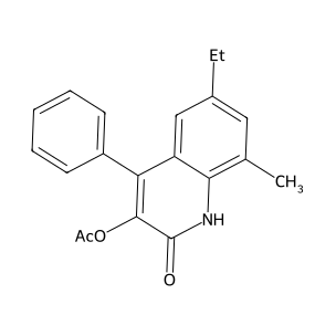 CCc1cc(C)c2[nH]c(=O)c(OC(C)=O)c(-c3ccccc3)c2c1